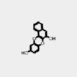 Oc1ccc2c(c1)Oc1c(c(O)cc3ccccc13)O2